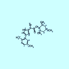 Cc1ccc(C)c(-c2n[nH]c(C(Br)C(=O)OC3C(C)CC(C)CC3C)n2)c1